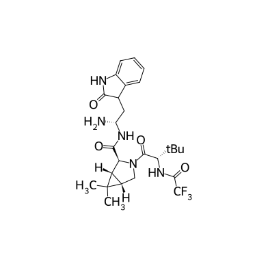 CC(C)(C)[C@H](NC(=O)C(F)(F)F)C(=O)N1C[C@H]2[C@@H]([C@H]1C(=O)N[C@H](N)CC1C(=O)Nc3ccccc31)C2(C)C